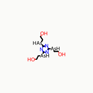 OCC[AsH]c1nc([AsH]CCO)nc([AsH]CCO)n1